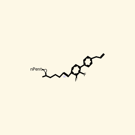 C=CCc1ccc(-c2ccc(/C=C/CCCC(C)OCCCCC)c(F)c2F)cc1